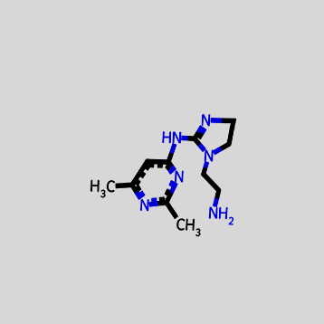 Cc1cc(NC2=NCCN2CCN)nc(C)n1